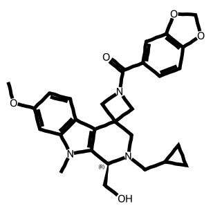 COc1ccc2c3c(n(C)c2c1)[C@H](CO)N(CC1CC1)CC31CN(C(=O)c2ccc3c(c2)OCO3)C1